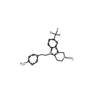 Cc1ccc(CCn2c3c(c4cc(C(F)(F)F)ccc42)CN(C)CC3)cc1